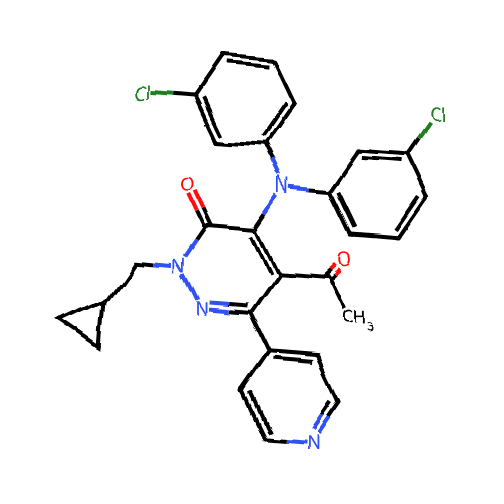 CC(=O)c1c(-c2ccncc2)nn(CC2CC2)c(=O)c1N(c1cccc(Cl)c1)c1cccc(Cl)c1